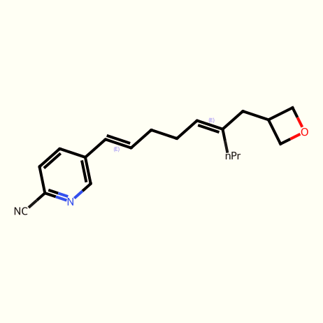 CCC/C(=C\CC/C=C/c1ccc(C#N)nc1)CC1COC1